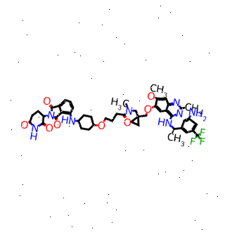 COc1cc2nc(C)nc(N[C@H](C)c3cc(N)cc(C(F)(F)F)c3)c2cc1OCC1(CN(C)C(=O)CCCOC2CCC(Nc3cccc4c3C(=O)N(C3CCC(=O)NC3=O)C4=O)CC2)CC1